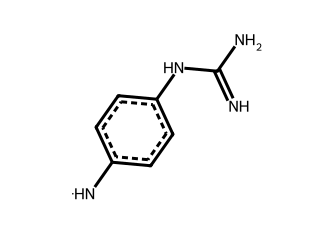 [NH]c1ccc(NC(=N)N)cc1